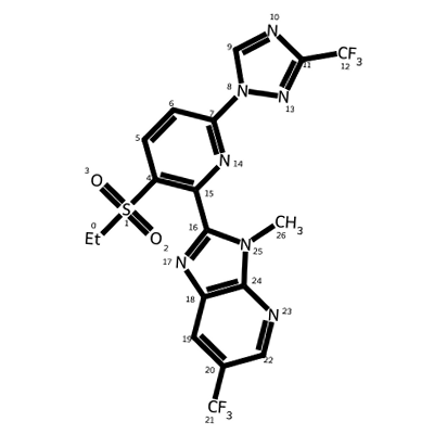 CCS(=O)(=O)c1ccc(-n2cnc(C(F)(F)F)n2)nc1-c1nc2cc(C(F)(F)F)cnc2n1C